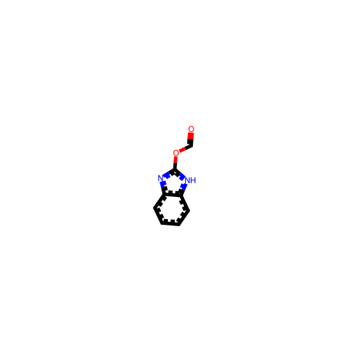 O=COc1nc2ccccc2[nH]1